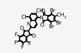 Cc1cc(Cl)c2nc(C3C(=O)c4c(F)c(F)c(F)c(F)c4C3=O)ccc2c1N1C(=O)c2c(Br)c(C)c(Br)c(Br)c2C1=O